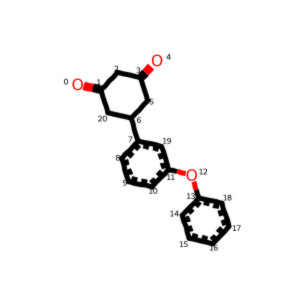 O=C1CC(=O)CC(c2cccc(Oc3ccccc3)c2)C1